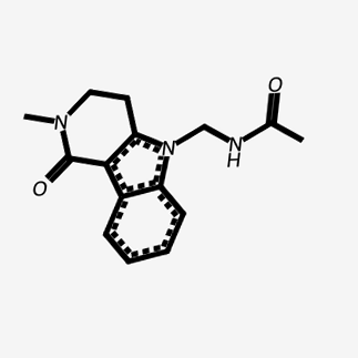 CC(=O)NCn1c2c(c3ccccc31)C(=O)N(C)CC2